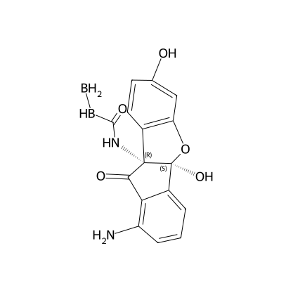 BBC(=O)N[C@@]12C(=O)c3c(N)cccc3[C@]1(O)Oc1cc(O)ccc12